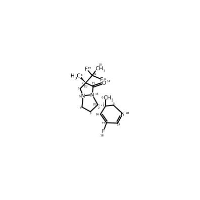 CC1([C@@H]2CCN3C[C@](C)(C(C)(F)F)C(=O)N23)C=C(F)C=NC1